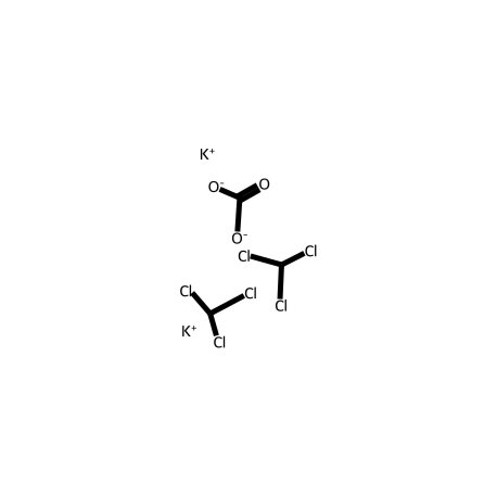 ClC(Cl)Cl.ClC(Cl)Cl.O=C([O-])[O-].[K+].[K+]